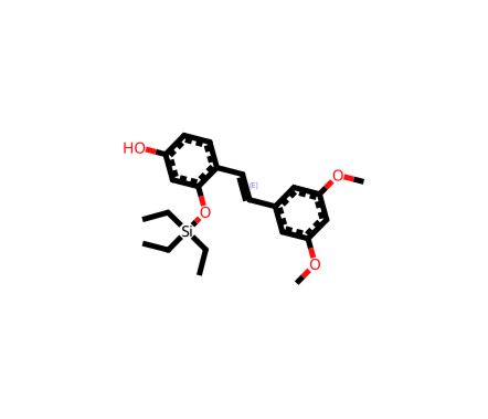 CC[Si](CC)(CC)Oc1cc(O)ccc1/C=C/c1cc(OC)cc(OC)c1